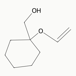 C=COC1(CO)CCCCC1